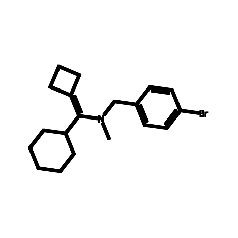 CN(Cc1ccc(Br)cc1)C(=C1CCC1)C1CCCCC1